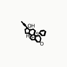 CC#C[C@]1(O)CC[C@H]2[C@@H]3CCC4=CC(=O)CC[C@]4(Sc4ccccc4)C3=CC[C@@]21C